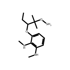 CCC(Oc1cccc(NC)c1NC)C(C)(C)O[SiH3]